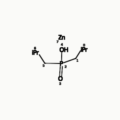 CC(C)CP(=O)(O)CC(C)C.[Zn]